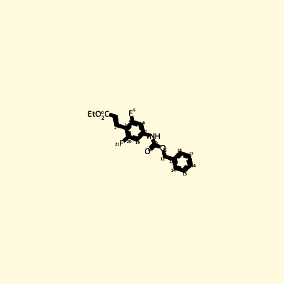 CCOC(=O)/C=C/c1c(F)cc(NC(=O)OCc2ccccc2)cc1F